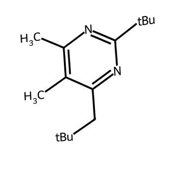 Cc1nc(C(C)(C)C)nc(CC(C)(C)C)c1C